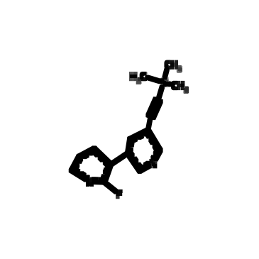 C[Si](C)(C)C#Cc1cncc(-c2cccnc2F)c1